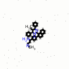 CCC1C(c2ccccc2)=NC(c2c(-c3ccc(/C(N)=C/C=N\C)cc3)ccc3ccccc23)NC1c1ccccc1